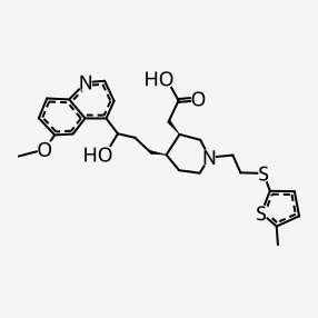 COc1ccc2nccc(C(O)CC[C@@H]3CCN(CCSc4ccc(C)s4)C[C@@H]3CC(=O)O)c2c1